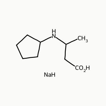 CC(CC(=O)O)NC1CCCC1.[NaH]